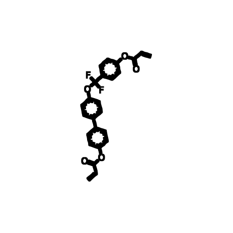 C=CC(=O)Oc1ccc(-c2ccc(OC(F)(F)c3ccc(OC(=O)C=C)cc3)cc2)cc1